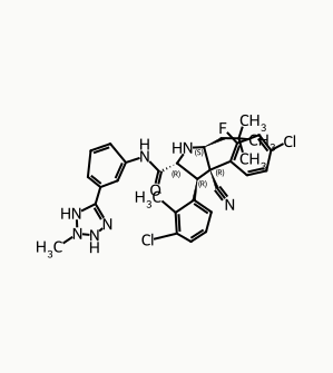 Cc1c(Cl)cccc1[C@H]1[C@H](C(=O)Nc2cccc(C3=NNN(C)N3)c2)N[C@@H](CC(C)(C)C)[C@]1(C#N)c1ccc(Cl)cc1F